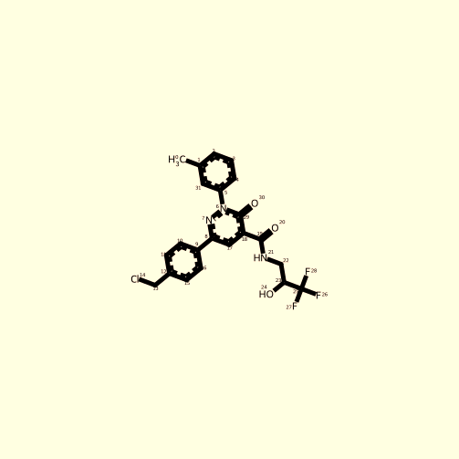 Cc1cccc(-n2nc(-c3ccc(CCl)cc3)cc(C(=O)NCC(O)C(F)(F)F)c2=O)c1